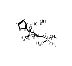 C[Si](C)(C)OC[CH2][Ti]([CH3])(=[O])(=[SiH2])[C]1=CC=CC1.Cl.Cl